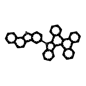 c1ccc2c(c1)ccc1c3cc(-n4c5ccccc5c5c6c7ccccc7c7ccccc7c6c6ccccc6c54)ccc3sc21